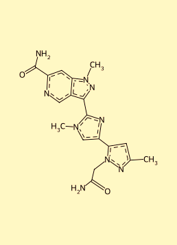 Cc1cc(-c2cn(C)c(-c3nn(C)c4cc(C(N)=O)ncc34)n2)n(CC(N)=O)n1